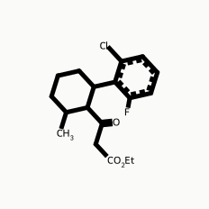 CCOC(=O)CC(=O)C1C(C)CCCC1c1c(F)cccc1Cl